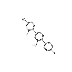 Cc1cc(-c2ccc(O)cc2F)ccc1-c1ccc(F)cc1